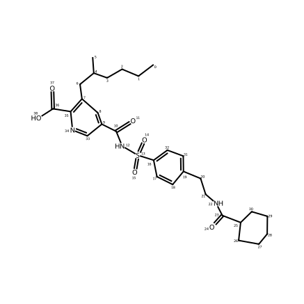 CCCCC(C)Cc1cc(C(=O)NS(=O)(=O)c2ccc(CCNC(=O)C3CCCCC3)cc2)cnc1C(=O)O